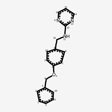 c1ccc(COc2ccc(CNc3ncccn3)cc2)cc1